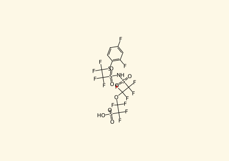 O=S(=O)(O)C(F)(F)C(F)(F)OC(F)(F)C(F)(F)S(=O)(=O)NS(=O)(=O)C(F)(F)C(F)(F)Sc1ccc(F)cc1F